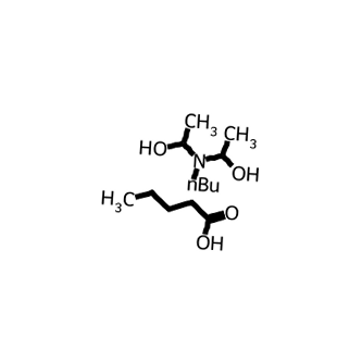 CCCCC(=O)O.CCCCN(C(C)O)C(C)O